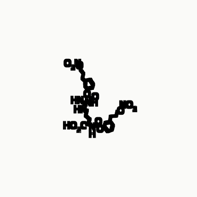 N=C(NCCCC(NC(=O)Oc1cccc(CCCO[N+](=O)[O-])c1)C(=O)O)NC(=O)Oc1cccc(CCCO[N+](=O)[O-])c1